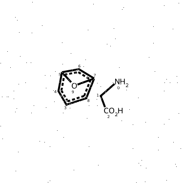 NCC(=O)O.c1cc2cc(c1)O2